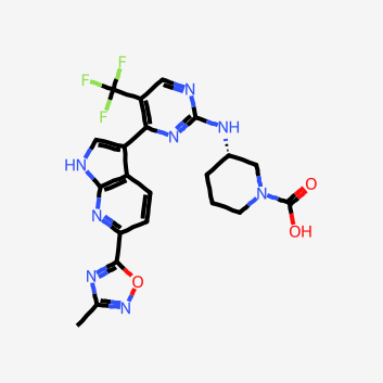 Cc1noc(-c2ccc3c(-c4nc(N[C@H]5CCCN(C(=O)O)C5)ncc4C(F)(F)F)c[nH]c3n2)n1